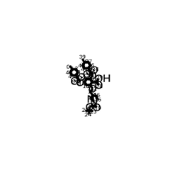 Cc1ccc(S(=O)(=O)Oc2cc(OCc3ccn(C(=O)OC(C)(C)C)n3)c(C(=O)O)c(OS(=O)(=O)c3ccc(C)cc3)c2)cc1